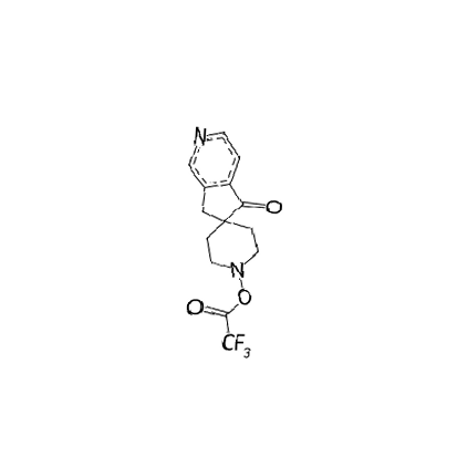 O=C(ON1CCC2(CC1)Cc1cnccc1C2=O)C(F)(F)F